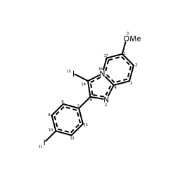 COc1ccc2nc(-c3ccc(I)cc3)c(I)n2c1